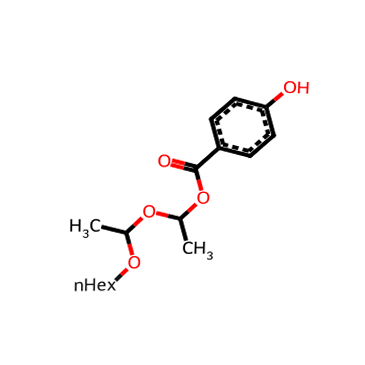 CCCCCCOC(C)OC(C)OC(=O)c1ccc(O)cc1